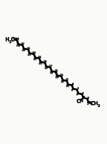 C=CCC(Cl)CCCCCCCCCCCCCCCCCCCCCCCCCC